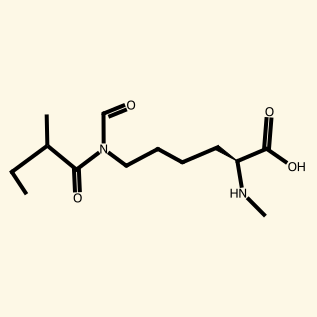 CCC(C)C(=O)N(C=O)CCCC[C@H](NC)C(=O)O